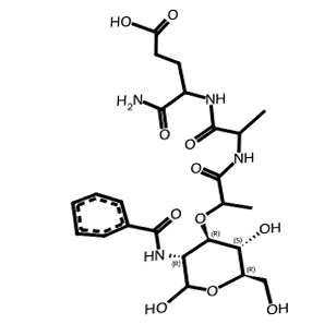 CC(NC(=O)C(C)O[C@H]1[C@H](O)[C@@H](CO)OC(O)[C@@H]1NC(=O)c1ccccc1)C(=O)NC(CCC(=O)O)C(N)=O